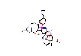 CC[C@]1(O)C[C@H]2CN(CCc3c([nH]c4ccc(-c5nccs5)cc34)[C@@](C(=O)OC)(c3cc4c(cc3OC)N(C)[C@@]35O[C@]3(C(=O)OC)[C@H](OC(C)=O)[C@]3(CC)C=CCN6CC[C@]45[C@@H]63)C2)C1